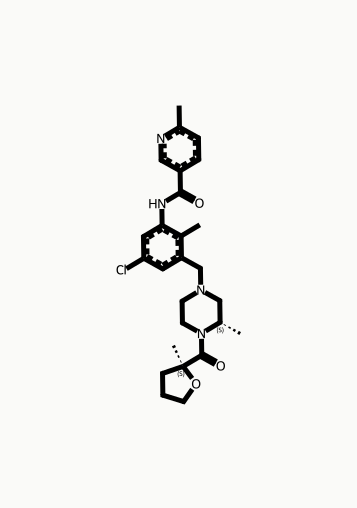 Cc1ccc(C(=O)Nc2cc(Cl)cc(CN3CCN(C(=O)[C@]4(C)CCCO4)[C@@H](C)C3)c2C)cn1